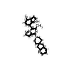 Cc1nc(N2CCC3(CC2)Cc2cccnc2C3)c2ccnn2c1-c1ccc(F)c2cc[nH]c12